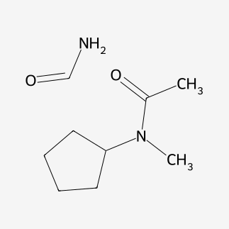 CC(=O)N(C)C1CCCC1.NC=O